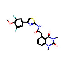 COc1c(F)cc(-c2csc(NC(=O)Cc3cccc4c3c(=O)n(C)c(=O)n4C)n2)cc1F